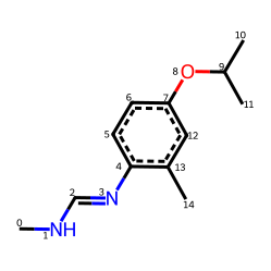 CNC=Nc1ccc(OC(C)C)cc1C